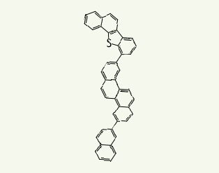 c1ccc2cc(-c3ccc4ccc5c6cc(-c7cccc8c7sc7c9ccccc9ccc87)ccc6ccc5c4c3)ccc2c1